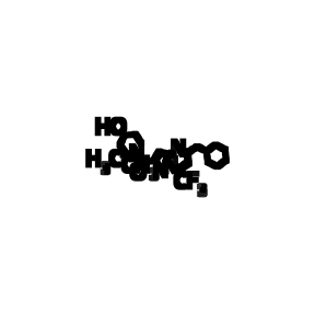 CC1(C)CC(O)CCN1C(=O)c1cc2nc(CC3CCCCC3)cc(C(F)(F)F)n2n1